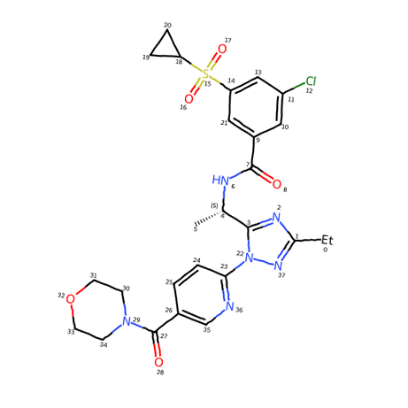 CCc1nc([C@H](C)NC(=O)c2cc(Cl)cc(S(=O)(=O)C3CC3)c2)n(-c2ccc(C(=O)N3CCOCC3)cn2)n1